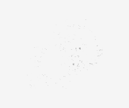 C/C1=C/C=C/[C@H](C)[C@H](O)[C@@H](C)[C@@H](O)[C@@H](C)[C@H](C)[C@H](C)[C@@H](CO)/C=C/O[C@@]2(C)Oc3c(C)c(O)c4c(O)c(cc(OCC(=O)NC(C)C(=O)NCC5NC(=O)C(C(=O)O)NC(=O)C(O)CNC(=O)C(C(C)O)NC(=O)C(C(O)C(O)C(N)=O)NC(=O)C(C(C)C)CC(=O)C(CO)NC5=O)c4c3C2=O)NC1=O